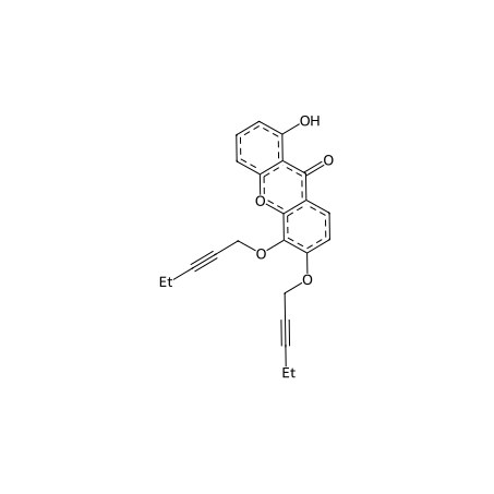 CCC#CCOc1ccc2c(=O)c3c(O)cccc3oc2c1OCC#CCC